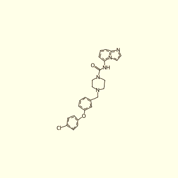 O=C(Nc1cccc2nccn12)N1CCN(Cc2cccc(Oc3ccc(Cl)cc3)c2)CC1